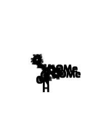 COc1ccc2c(c1OC)CCC(CC=Cc1ccccc1)C2C1CNC(=O)O1